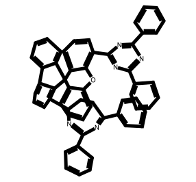 c1ccc(C2=NC(c3ccccc3)=NC(c3cccc4c3C3(c5ccccc5Oc5c(-c6nc(-c7ccccc7)nc(-c7ccccc7)n6)cccc53)c3ccccc3-4)CC2)cc1